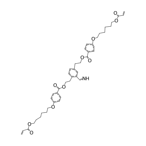 C=CC(=O)OCCCCCCOc1ccc(C(=O)OCCc2ccc(CCOC(=O)c3ccc(OCCCCCCOC(=O)C=C)cc3)c(C=N)c2)cc1